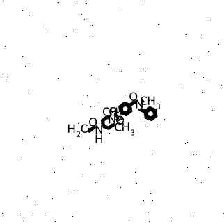 C=CC(=O)NC1CC(C)N(S(=O)(=O)c2ccc(C(=O)N(C)Cc3ccccc3)cc2)C(C)C1